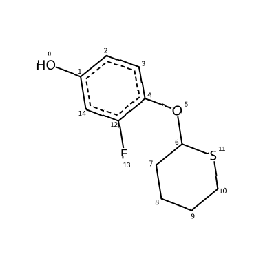 Oc1ccc(OC2CCCCS2)c(F)c1